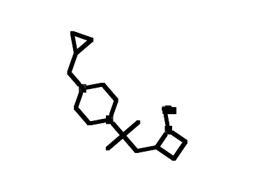 CC(C)(C)N1CCC1CC(C)(C)N1CCN(CC2CC2)CC1